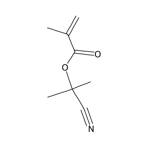 C=C(C)C(=O)OC(C)(C)C#N